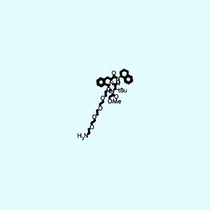 COCC(=O)N[C@H](C(=O)N1C(C(=O)N[C@@H]2CCCc3ccccc32)Cc2ccccc2C1OCCOCCOCCOCCOCCN)C(C)(C)C